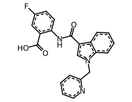 O=C(O)c1cc(F)ccc1NC(=O)c1cn(Cc2ccccn2)c2ccccc12